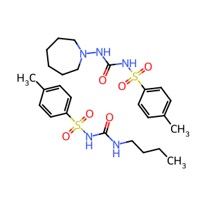 CCCCNC(=O)NS(=O)(=O)c1ccc(C)cc1.Cc1ccc(S(=O)(=O)NC(=O)NN2CCCCCC2)cc1